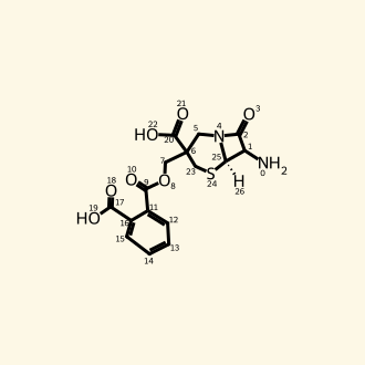 NC1C(=O)N2CC(COC(=O)c3ccccc3C(=O)O)(C(=O)O)CS[C@H]12